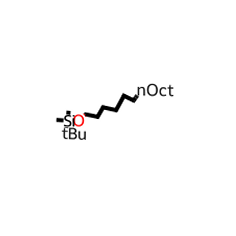 CCCCCCCCCCCCCCO[Si](C)(C)C(C)(C)C